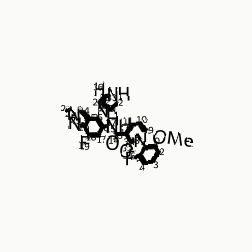 COc1cccc(F)c1-n1cccc(C(=O)Nc2cc(F)c3nn(C)cc3c2N2C[C@H]3C[C@@H]2CN3)c1=O